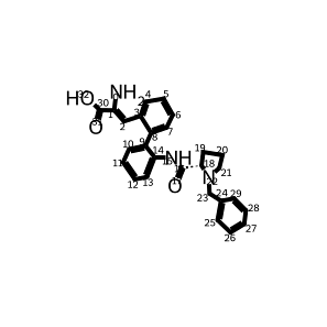 NC(=Cc1ccccc1-c1ccccc1NC(=O)[C@@H]1CCCN1Cc1ccccc1)C(=O)O